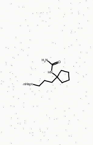 CCCCCCCCCCC1(NC(N)=O)CCCC1